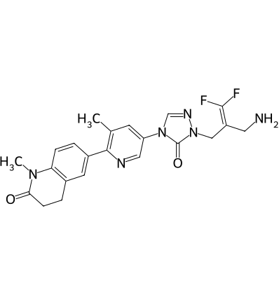 Cc1cc(-n2cnn(CC(CN)=C(F)F)c2=O)cnc1-c1ccc2c(c1)CCC(=O)N2C